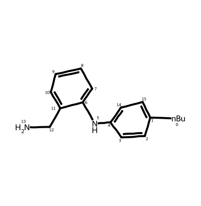 CCCCc1ccc(Nc2ccccc2CN)cc1